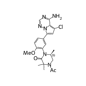 COc1ccc(-c2cc(Cl)c3c(N)ncnn23)cc1N1C(=O)C(C)(C)N(C(C)=O)C[C@@H]1C